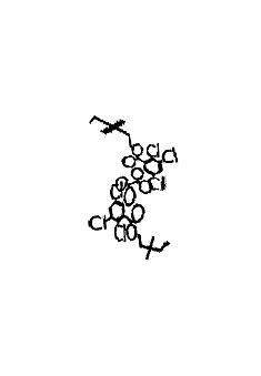 CCC(C)(C)CCOC(=O)c1c(Cl)c(Cl)cc(Cl)c1OC(=O)C(=O)Oc1c(Cl)cc(Cl)c(Cl)c1C(=O)OCCC(C)(C)CC